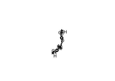 CC(C)(C)NC(=O)OCc1ccc(OCCCCc2nnc(-c3ccc(NC(=O)C(C)(C)C)cc3)nn2)cc1